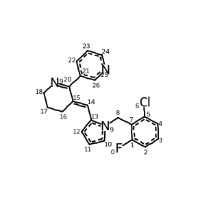 Fc1cccc(Cl)c1Cn1cccc1C=C1CCCN=C1c1cccnc1